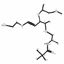 COCC(C)OC(/C=C/OCCO)C(C)OCC(C)NC(=O)C(C)(C)C